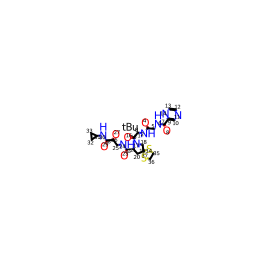 CC(C)(C)[C@H](NC(=O)CNC(=O)c1cnccn1)C(=O)N1CC2(C[C@H]1C(=O)NCC(=O)C(=O)NC1CC1)SCCS2